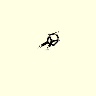 O=C1Cn2on1c2=O